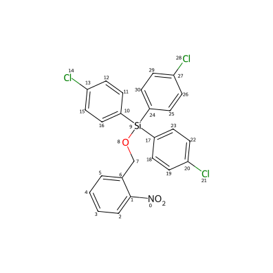 O=[N+]([O-])c1ccccc1CO[Si](c1ccc(Cl)cc1)(c1ccc(Cl)cc1)c1ccc(Cl)cc1